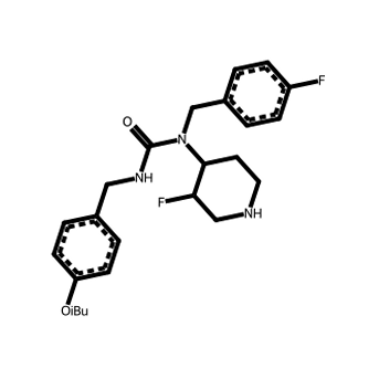 CC(C)COc1ccc(CNC(=O)N(Cc2ccc(F)cc2)C2CCNCC2F)cc1